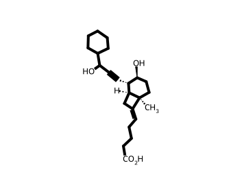 C[C@@]12CC[C@H](O)[C@@H](C#CC(O)C3CCCCC3)[C@@H]1CC2=CCCCC(=O)O